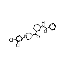 O=C(NC1CCCC(C(=O)N2CCN(c3ccc(Cl)c(Cl)c3)CC2)C1)c1ccccc1